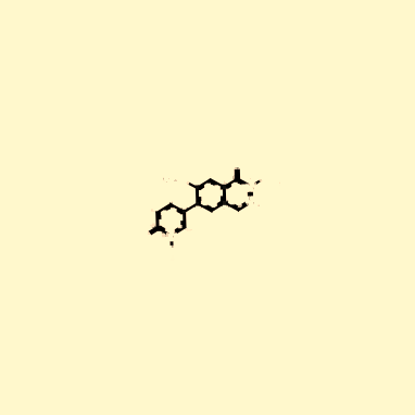 COc1cc2c(=O)n(C)ncc2cc1-c1ccc(=O)n(C)c1